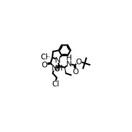 CC[C@H](NC(=O)OC(C)(C)C)C(=O)N1c2ccccc2C[C@]1(Cl)C(=O)NCCCl